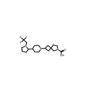 O=C(O)N1CCC2(CC(N3CCC(C4CCCN4CC(F)(F)F)CC3)C2)C1